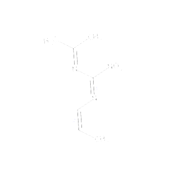 C/C=C\N=C(/N=C(C)C)[N+](=O)[O-]